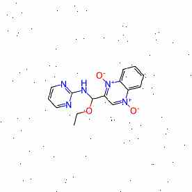 CCOC(Nc1ncccn1)c1c[n+]([O-])c2ccccc2[n+]1[O-]